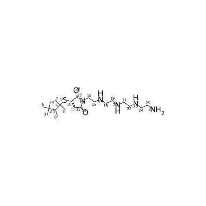 CC(C(C)(C)C)C(C)(C)SC1=CC(=O)N(CCNCCNCCNCCN)C1=O